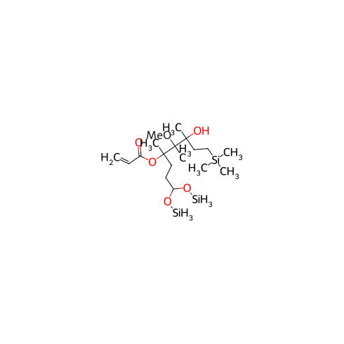 C=CC(=O)OC(C)(CCC(O[SiH3])O[SiH3])C(C)(OC)C(C)(O)CC[Si](C)(C)C